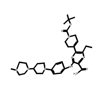 CCc1nc(C(N)=O)c(Nc2ccc(N3CCC(N4CCN(C)CC4)CC3)cc2)nc1C1=CCN(C(=O)OC(C)(C)C)CC1